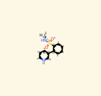 CNS(=O)(=O)c1[c]cccc1-c1cccnc1